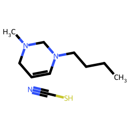 CCCCN1C=CCN(C)C1.N#CS